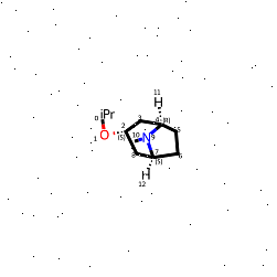 CC(C)O[C@@H]1C[C@H]2CC[C@@H](C1)N2C